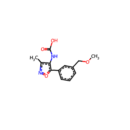 COCc1cccc(-c2onc(C)c2NC(=O)O)c1